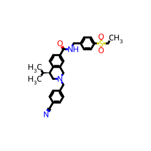 CCS(=O)(=O)c1ccc(CNC(=O)c2ccc3c(c2)CN(Cc2ccc(C#N)cc2)C[C@H]3C(C)C)cc1